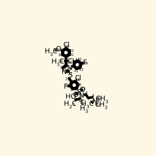 C=C(O)C(C)N(CCC[N+](C)(C)C)S(=O)(=O)c1cc(F)c(CSc2ncc(C(C)(C)c3ccc(Cl)c(OC)c3)n2-c2ccc(F)cc2)c(Cl)c1